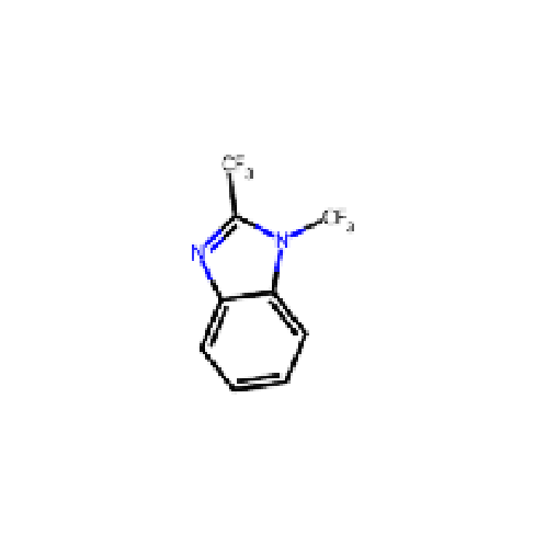 FC(F)(F)c1nc2ccccc2n1C(F)(F)F